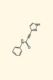 O=C(C#Cc1cc[nH]n1)Nc1ccccc1